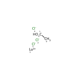 CC(=O)O.[Cl-].[Cl-].[Cl-].[Lu+3]